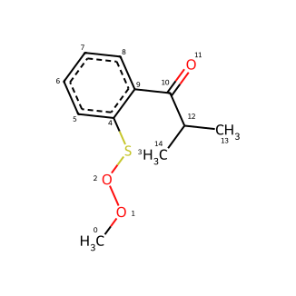 COOSc1ccccc1C(=O)C(C)C